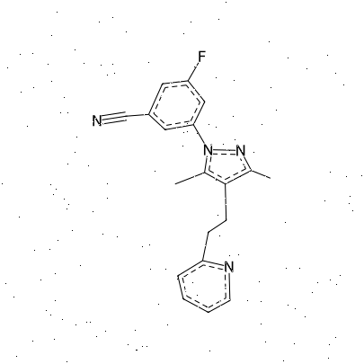 Cc1nn(-c2cc(F)cc(C#N)c2)c(C)c1CCc1ccccn1